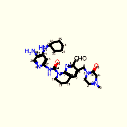 CN1CCN(Cc2cc3c(nc2C=O)N(C(=O)Nc2cc(NC4CCCCC4)c(N)cn2)CCC3)C(=O)C1